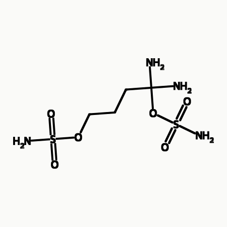 NC(N)(CCCOS(N)(=O)=O)OS(N)(=O)=O